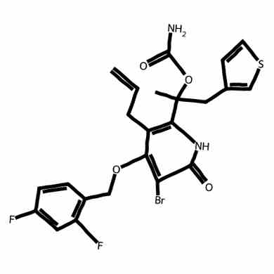 C=CCc1c(C(C)(Cc2ccsc2)OC(N)=O)[nH]c(=O)c(Br)c1OCc1ccc(F)cc1F